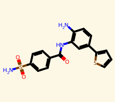 Nc1ccc(-c2cccs2)cc1NC(=O)c1ccc(S(N)(=O)=O)cc1